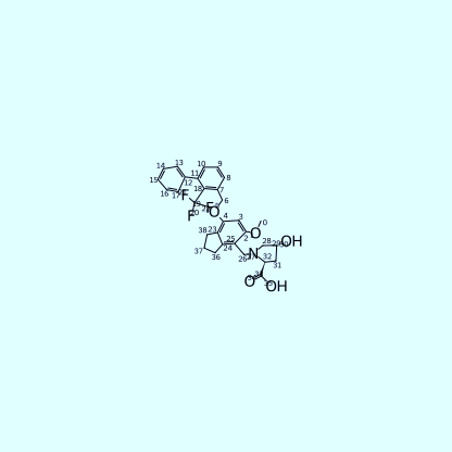 COc1cc(OCc2cccc(-c3ccccc3)c2C(F)(F)F)c2c(c1CN1C[C@H](O)C[C@H]1C(=O)O)CCC2